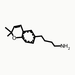 CC1(C)C=Cc2cc(CCCCN)ccc2O1